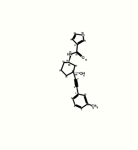 Cc1cccc(C#C[C@@]2(O)CCC[C@@H](NC(=O)c3ccoc3)C2)c1